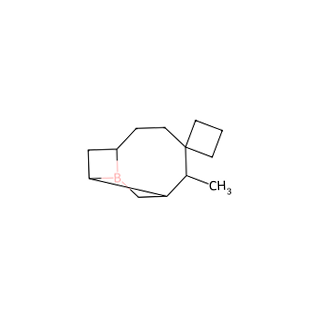 CC1C2CB3C(CCC14CCC4)CC32